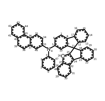 c1ccc(N(c2ccc3c(c2)C2(c4ccccc4-3)c3ccccc3-c3c2oc2ccccc32)c2ccc3c(ccc4ccccc43)c2)cc1